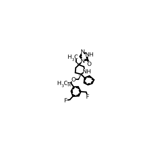 CC[C@]1(n2cn[nH]c2=O)CC[C@@](CO[C@H](C)c2cc(CF)cc(CF)c2)(c2ccccc2)NC1